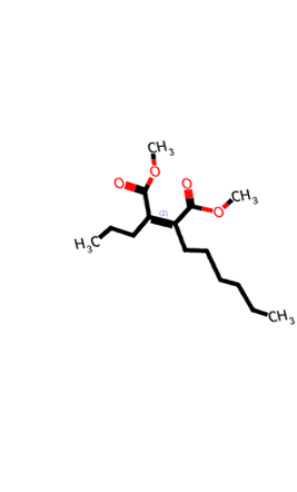 CCCCCC/C(C(=O)OC)=C(\CCC)C(=O)OC